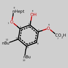 CCCCCCCOc1c(O)c(OC(=O)O)cc(CCCC)c1CCCC